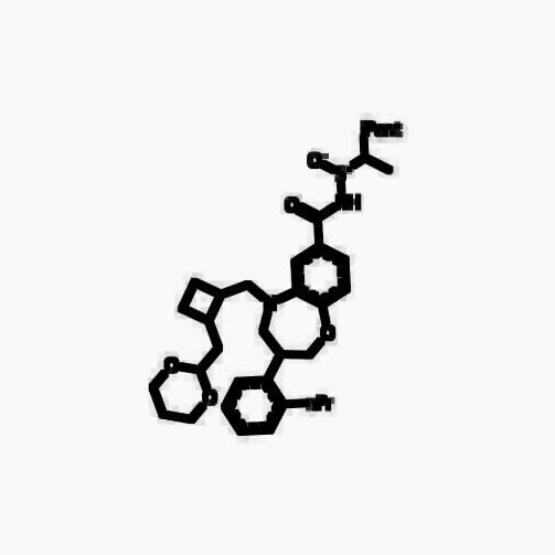 CCCc1ccccc1C1COc2ccc(C(=O)N[S+]([O-])C(C)C(C)CCC)cc2N(CC2CCC2CC2OCCCO2)C1